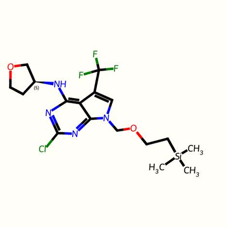 C[Si](C)(C)CCOCn1cc(C(F)(F)F)c2c(N[C@H]3CCOC3)nc(Cl)nc21